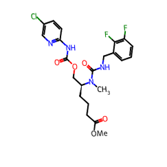 COC(=O)CCC[C@@H](COC(=O)Nc1ccc(Cl)cn1)N(C)C(=O)NCc1cccc(F)c1F